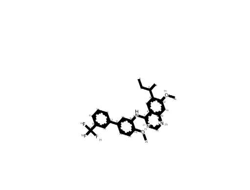 CCC(C)c1cc2c(Nc3cc(-c4cccc(C(F)(F)F)c4)ccc3OC)ncnc2cc1OC